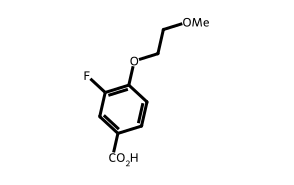 COCCOc1ccc(C(=O)O)cc1F